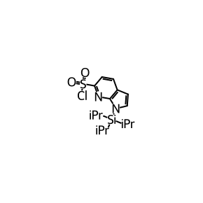 CC(C)[Si](C(C)C)(C(C)C)n1ccc2ccc(S(=O)(=O)Cl)nc21